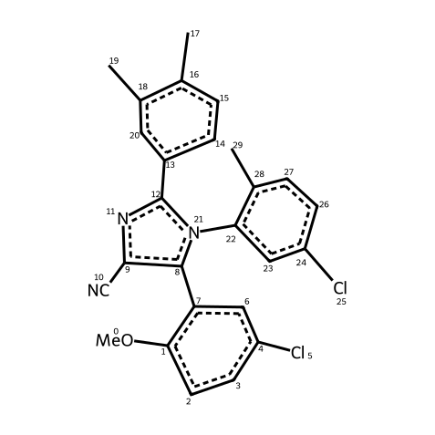 COc1ccc(Cl)cc1-c1c(C#N)nc(-c2ccc(C)c(C)c2)n1-c1cc(Cl)ccc1C